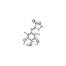 COc1c(C)c(/C=C2\CCOC2=O)c(C)c(OC)c1OC